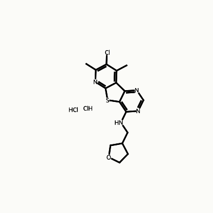 Cc1nc2sc3c(NCC4CCOC4)ncnc3c2c(C)c1Cl.Cl.Cl